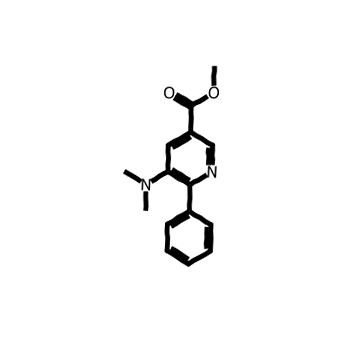 COC(=O)c1cnc(-c2ccccc2)c(N(C)C)c1